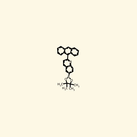 CC1(C)OB(c2ccc3nc(-c4c5ccccc5cc5ccccc45)ccc3c2)OC1(C)C